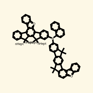 CCCCCCCC1(CCCCCCC)c2cc(N(c3ccc4c(c3)C(C)(C)c3cc5c(cc3-4)C(C)(C)c3ccc4oc6ccccc6c4c3-5)c3cccc4ccccc34)ccc2-c2c1c1c(c3c2oc2ccccc23)-c2ccccc2C1(CCCCCCC)CCCCCCC